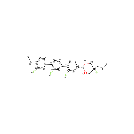 CCCC1(F)COC(c2ccc(-c3ccc(-c4ccc(CC)c(F)c4)c(F)c3)c(F)c2)OC1